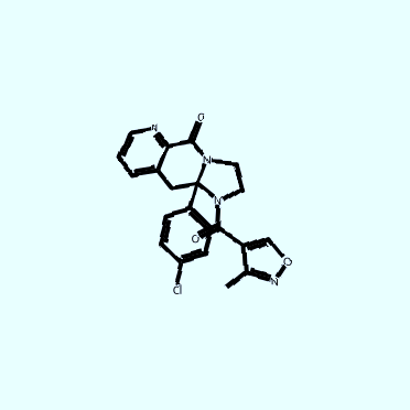 Cc1nocc1C(=O)N1CCN2C(=O)c3ncccc3CC12c1ccc(Cl)cc1